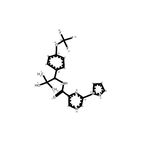 CC(C)(O)C(NC(=O)c1cncc(-n2cccn2)n1)c1ccc(OC(F)(F)F)cc1